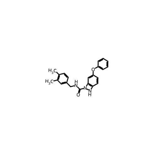 Cc1ccc(CNC(=O)n2[nH]c3ccc(Oc4ccccc4)cc32)cc1C